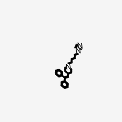 C(=C(c1ccccc1)c1ccccc1)C1CCN(CCCCCCn2ccnc2)CC1